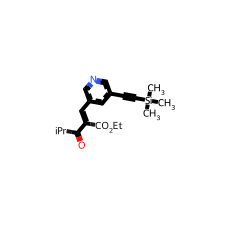 CCOC(=O)/C(=C\c1cncc(C#C[Si](C)(C)C)c1)C(=O)C(C)C